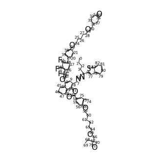 CCCC/C(=N\N=C\c1cc(OC(F)(F)c2ccc(-c3ccc(OCCCCCOCC4CCC5OC5C4)cc3)c(F)c2F)c2ccccc2c1OC(=O)c1ccc(OCCCCCCOCC2(CC)COC2)c(C)c1)c1cc2ccccc2s1